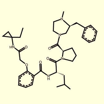 CCC1(NC(=O)COc2ccccc2C(=O)N[C@@H](CC(C)C)C(=O)N2CCC[C@@H]2C(=O)N2CCN(C)[C@@H](Cc3ccccc3)C2)CC1